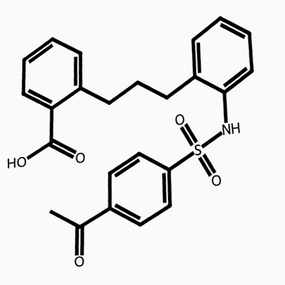 CC(=O)c1ccc(S(=O)(=O)Nc2ccccc2CCCc2ccccc2C(=O)O)cc1